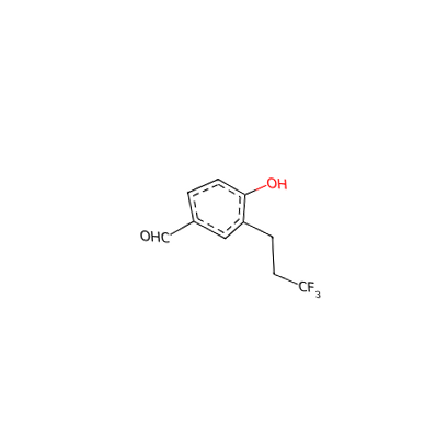 O=Cc1ccc(O)c(CCC(F)(F)F)c1